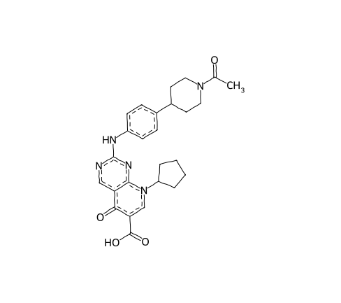 CC(=O)N1CCC(c2ccc(Nc3ncc4c(=O)c(C(=O)O)cn(C5CCCC5)c4n3)cc2)CC1